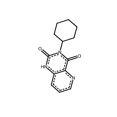 O=c1[nH]c2cccnc2c(=O)n1C1CCCCC1